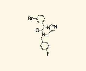 O=C1C(c2cccc(Br)c2)n2cncc2CN1Cc1ccc(F)cc1